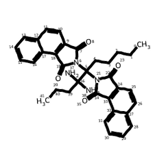 CCCCCC(N1C(=O)c2ccc3ccccc3c2C1=O)(N1C(=O)c2ccc3ccccc3c2C1=O)C(N)(N)CCC